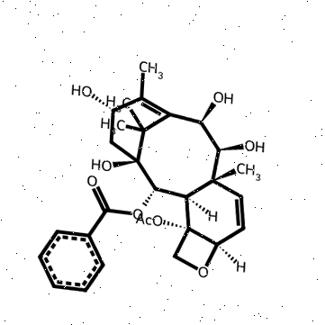 CC(=O)O[C@@]12CO[C@@H]1C=C[C@@]1(C)[C@H](O)[C@H](O)C3=C(C)[C@@H](O)C[C@@](O)([C@@H](OC(=O)c4ccccc4)[C@@H]12)C3(C)C